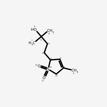 CC1=CC(CCC(C)(C)O)S(=O)(=O)C1